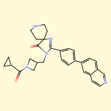 O=C(C1CC1)N1CC(CN2C(=O)C3(CCNCC3)N=C2c2ccc(-c3ccc4cnccc4c3)cc2)C1